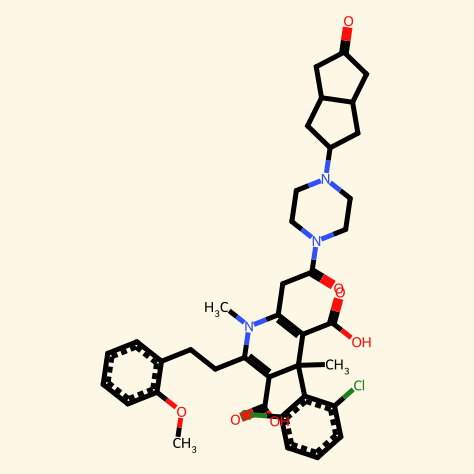 COc1ccccc1CCC1=C(C(=O)O)C(C)(c2c(Cl)cccc2Cl)C(C(=O)O)=C(CC(=O)N2CCN(C3CC4CC(=O)CC4C3)CC2)N1C